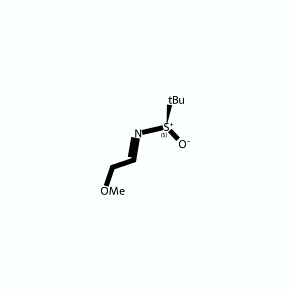 COCC=N[S@+]([O-])C(C)(C)C